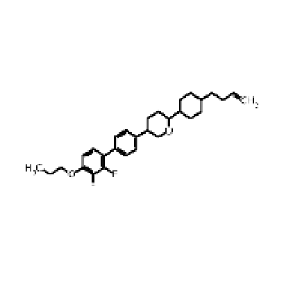 C=CCCC1CCC(C2CCC(c3ccc(-c4ccc(OCCC)c(F)c4F)cc3)CO2)CC1